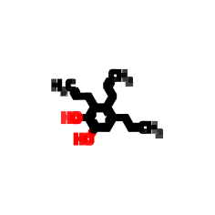 C=CCc1cc(O)c(O)c(CC=C)c1CC=C